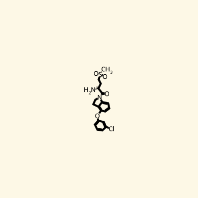 CS(=O)(=O)CC[C@@H](N)C(=O)N1CCc2c(Oc3cccc(Cl)c3)cccc21